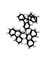 c1ccc2c(c1)-c1cc(N(c3cc4ccccc4c4ccccc34)c3cc4ccccc4c4ccccc34)ccc1C21C2CCC3CC(C2)CC1C3